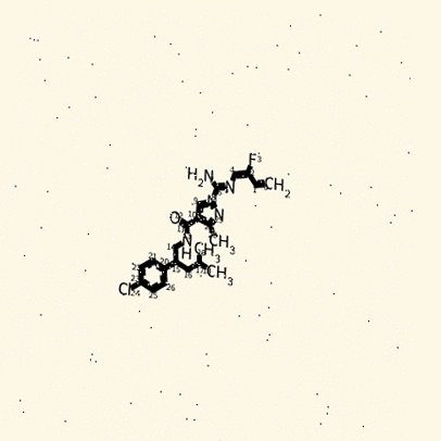 C=C/C(F)=C\N=C(/N)n1cc(C(=O)NCC(CC(C)C)c2ccc(Cl)cc2)c(C)n1